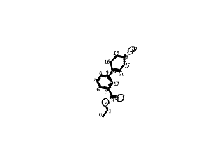 CCOC(=O)c1cccc(C2=CCC(=O)CC2)c1